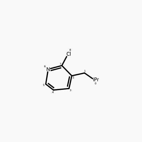 CC(C)Cc1cccnc1Cl